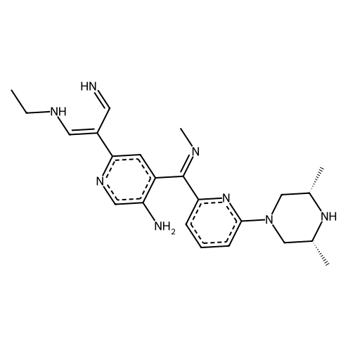 CCN/C=C(\C=N)c1cc(/C(=N\C)c2cccc(N3C[C@@H](C)N[C@@H](C)C3)n2)c(N)cn1